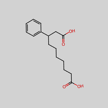 O=C(O)CCCCCCC(CC(=O)O)c1ccccc1